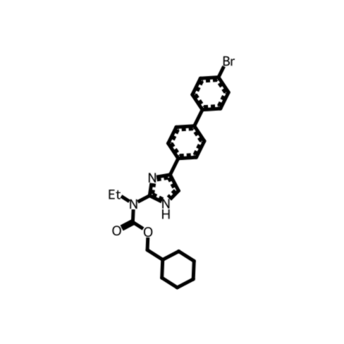 CCN(C(=O)OCC1CCCCC1)c1nc(-c2ccc(-c3ccc(Br)cc3)cc2)c[nH]1